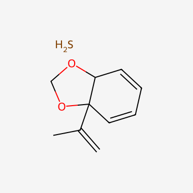 C=C(C)C12C=CC=CC1OCO2.S